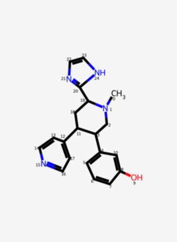 CN1CC(c2cccc(O)c2)C(c2ccncc2)CC1c1ncc[nH]1